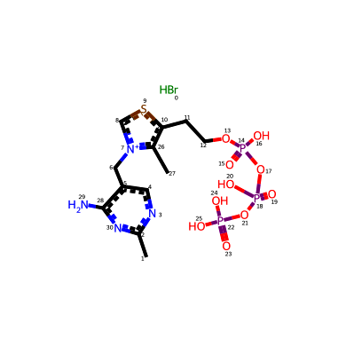 Br.Cc1ncc(C[n+]2csc(CCOP(=O)(O)OP(=O)(O)OP(=O)(O)O)c2C)c(N)n1